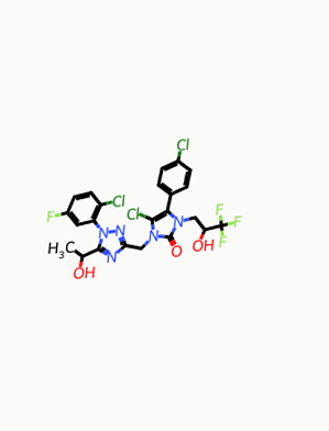 CC(O)c1nc(Cn2c(Cl)c(-c3ccc(Cl)cc3)n(CC(O)C(F)(F)F)c2=O)nn1-c1cc(F)ccc1Cl